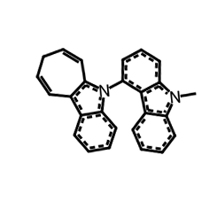 Cn1c2ccccc2c2c(-n3c4c(c5ccccc53)C=CCC=C4)cccc21